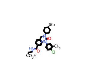 CC(C)(C)C1CCC(N(Cc2ccc(C(=O)NCCC(=O)O)cc2)C(=O)Nc2ccc(Cl)c(C(F)(F)F)c2)CC1